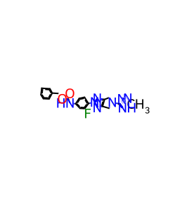 C/N=N\C(=N)N1Cc2nn(-c3ccc(NC(=O)OCc4ccccc4)cc3F)nc2C1